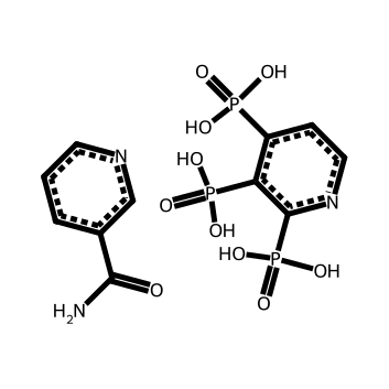 NC(=O)c1cccnc1.O=P(O)(O)c1ccnc(P(=O)(O)O)c1P(=O)(O)O